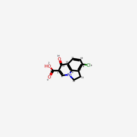 O=C(O)c1cn2c3c(c(Cl)ccc3c1=O)CC2